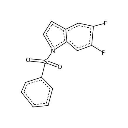 O=S(=O)(c1ccccc1)n1ccc2cc(F)c(F)cc21